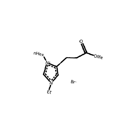 CCCCCC[n+]1cn(CC)cc1CCC(=O)OC.[Br-]